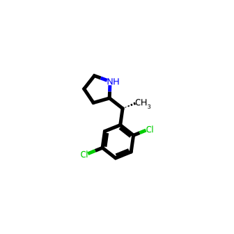 C[C@H](c1cc(Cl)ccc1Cl)C1CCCN1